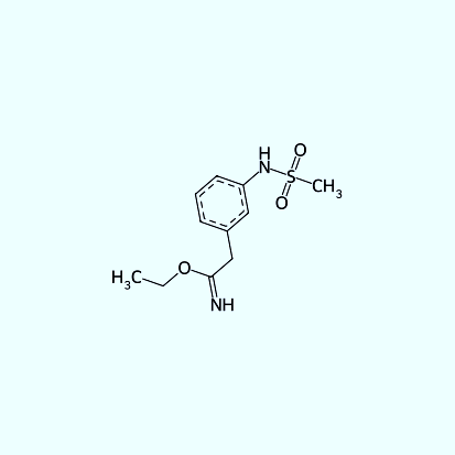 CCOC(=N)Cc1cccc(NS(C)(=O)=O)c1